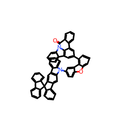 O=c1c2ccccc2c2cc(-c3cccc4oc5ccc(-n6c7ccccc7c7cc8c(cc76)-c6ccccc6C86c7ccccc7-c7ccccc76)cc5c34)cc3c4ccccc4n1c23